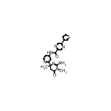 CN1C(=O)CC(C)(c2cc(NC(=O)c3cnc(-c4ccsc4)cn3)ccn2)N=C1N